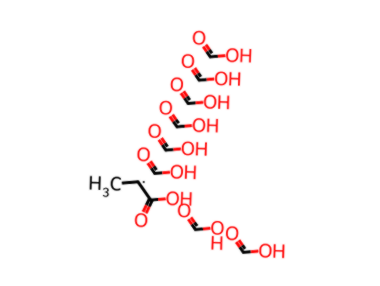 C[CH]C(=O)O.O=CO.O=CO.O=CO.O=CO.O=CO.O=CO.O=CO.O=CO